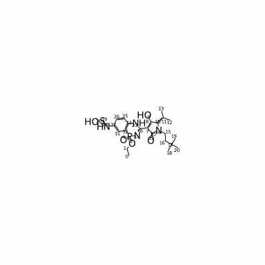 CCOP1(=O)N=C(C2=C(O)C(=C(C)C)N(CCC(C)(C)C)C2=O)Nc2ccc(NSO)cc21